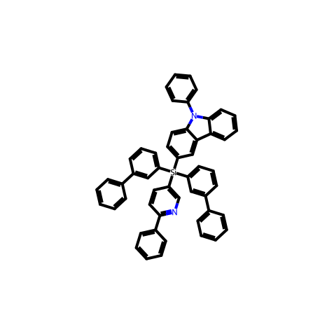 c1ccc(-c2cccc([Si](c3ccc(-c4ccccc4)nc3)(c3cccc(-c4ccccc4)c3)c3ccc4c(c3)c3ccccc3n4-c3ccccc3)c2)cc1